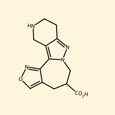 O=C(O)C1Cc2conc2-c2c3c(nn2C1)CCNC3